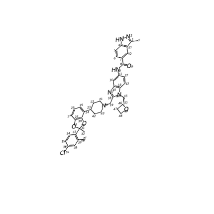 Cc1n[nH]c2ccc(C(=O)Nc3ccc4c(c3)nc(CN3CCC(c5cccc6c5OC(C)(c5ccc(Cl)cc5F)O6)CC3)n4C[C@@H]3CCO3)cc12